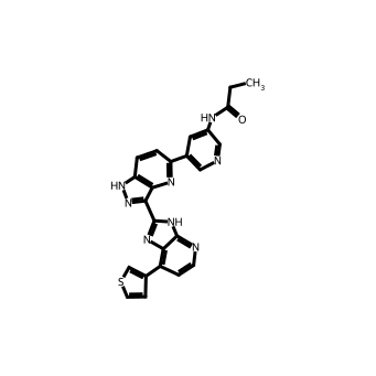 CCC(=O)Nc1cncc(-c2ccc3[nH]nc(-c4nc5c(-c6ccsc6)ccnc5[nH]4)c3n2)c1